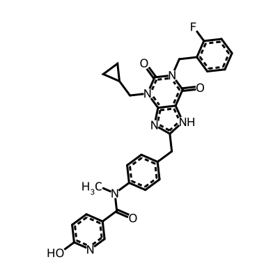 CN(C(=O)c1ccc(O)nc1)c1ccc(Cc2nc3c([nH]2)c(=O)n(Cc2ccccc2F)c(=O)n3CC2CC2)cc1